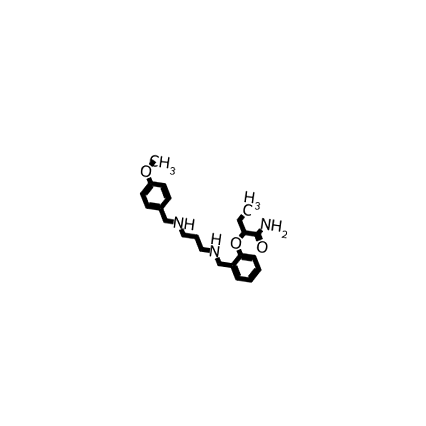 CCC(Oc1ccccc1CNCCCNCc1ccc(OC)cc1)C(N)=O